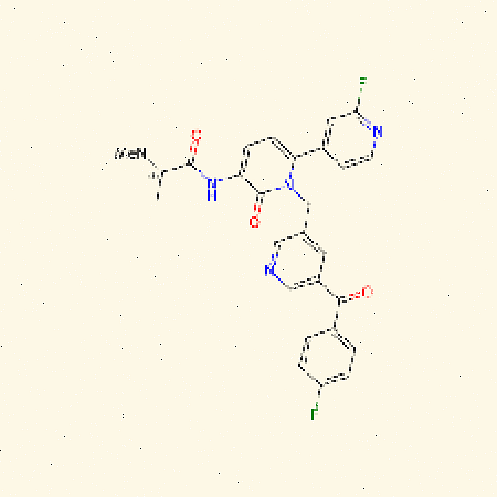 CN[C@@H](C)C(=O)Nc1ccc(-c2ccnc(F)c2)n(Cc2cncc(C(=O)c3ccc(F)cc3)c2)c1=O